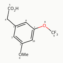 COc1cc(CC(=O)O)cc(OC(F)(F)F)c1